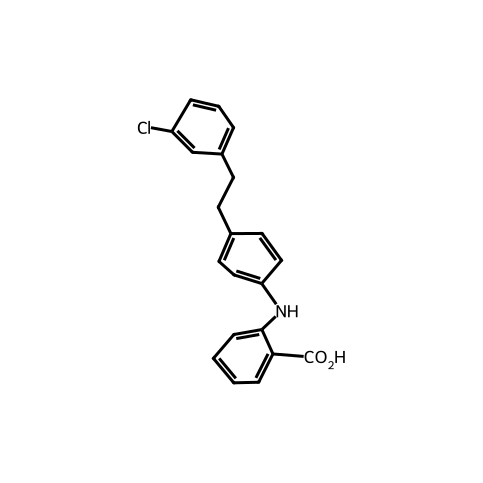 O=C(O)c1ccccc1Nc1ccc(CCc2cccc(Cl)c2)cc1